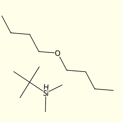 CCCCOCCCC.C[SiH](C)C(C)(C)C